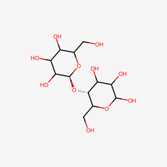 OCC1O[C@@H](O[C@H]2C(CO)OC(O)C(O)C2O)C(O)C(O)C1O